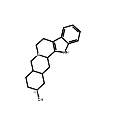 O[C@H]1CCC2CN3CCc4c([nH]c5ccccc45)C3CC2C1